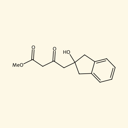 COC(=O)CC(=O)CC1(O)Cc2ccccc2C1